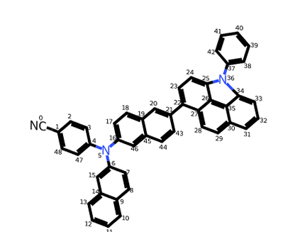 N#Cc1ccc(N(c2ccc3ccccc3c2)c2ccc3cc(-c4ccc5c6c4ccc4cccc(c46)n5-c4ccccc4)ccc3c2)cc1